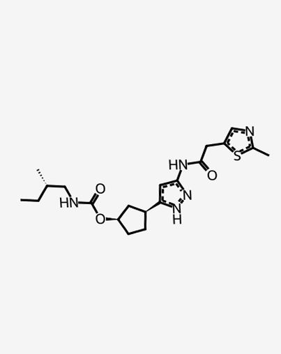 CC[C@H](C)CNC(=O)O[C@@H]1CC[C@H](c2cc(NC(=O)Cc3cnc(C)s3)n[nH]2)C1